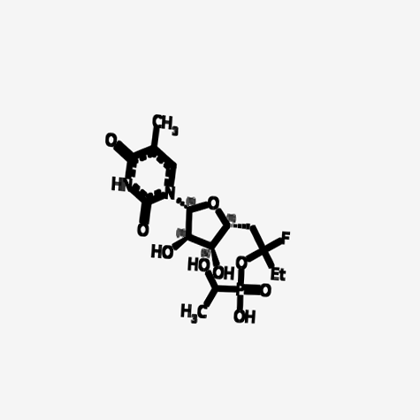 CCC(F)(C[C@H]1O[C@@H](n2cc(C)c(=O)[nH]c2=O)[C@H](O)[C@@H]1O)OP(=O)(O)C(C)O